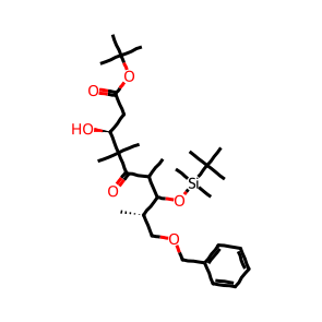 CC(C(=O)C(C)(C)[C@@H](O)CC(=O)OC(C)(C)C)C(O[Si](C)(C)C(C)(C)C)[C@@H](C)COCc1ccccc1